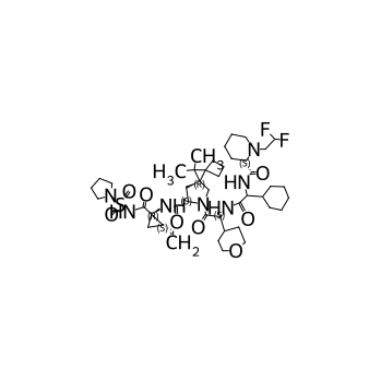 C=C[C@@H]1C[C@]1(NC(=O)[C@@H]1C[C@@]2(CN1C(=O)[C@@H](NC(=O)C(NC(=O)[C@@H]1CCCCN1CC(F)F)C1CCCCC1)C1CCOCC1)C(C)(C)C21CCC1)C(=O)NS(=O)(=O)N1CCCC1